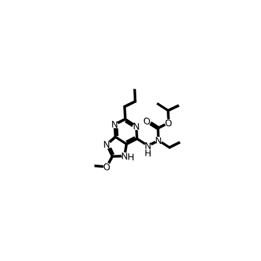 CCCc1nc(NN(CC)C(=O)OC(C)C)c2[nH]c(OC)nc2n1